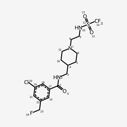 O=C(NCC1CCN(CCNS(=O)(=O)C(F)(F)F)CC1)c1cc(Cl)cc(CF)c1